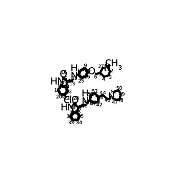 CN1CCCC(COc2ccc(NC=C3C(=O)Nc4ccc(Cl)cc43)cc2)C1.O=C1Nc2ccccc2C1=CNc1ccc(CCN2CCCCC2)cc1